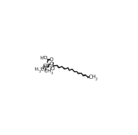 CCCCCCCCCCCCCCCC(=O)O[C@@H](CC(=O)O)C[N+](C)(C)C